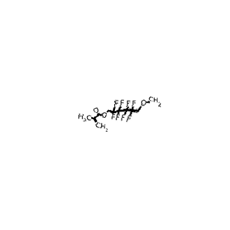 C=COCC(F)(F)C(F)(F)C(F)(F)C(F)(F)COC(=O)C(=C)C